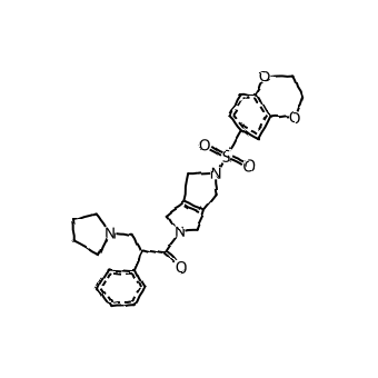 O=C(C(CN1CCCC1)c1ccccc1)N1CC2=C(C1)CN(S(=O)(=O)c1ccc3c(c1)OCCO3)C2